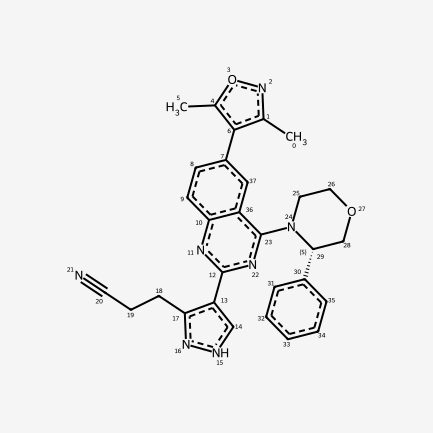 Cc1noc(C)c1-c1ccc2nc(-c3c[nH]nc3CCC#N)nc(N3CCOC[C@@H]3c3ccccc3)c2c1